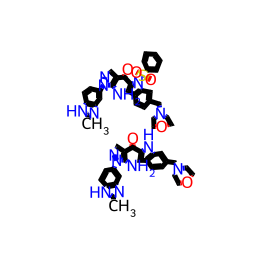 Cc1nc2cc(-n3ncc(C(=O)c4cc5ccc(CN6CCOCC6)cc5[nH]4)c3N)ccc2[nH]1.Cc1nc2cc(-n3ncc(C(=O)c4cc5ccc(CN6CCOCC6)cc5n4S(=O)(=O)c4ccccc4)c3N)ccc2[nH]1